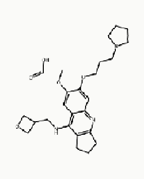 COc1cc2c(NCC3COC3)c3c(nc2cc1OCCCN1CCCC1)CCC3.O=CO